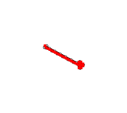 CS(=O)(=O)OCCOCCOCCOCCOCCOCCOCCOCCOCCOCCOCCOCCOC(c1ccccc1)(c1ccccc1)c1ccccc1